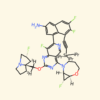 [2H]C([2H])(Oc1nc(N2CCCO[C@H]3[C@H](F)[C@H]32)c2cnc(-c3cc(N)cc4cc(F)c(F)c(C#C[Si](C(C)C)(C(C)C)C(C)C)c34)c(F)c2n1)[C@@]12CCCN1C[C@H](F)C2